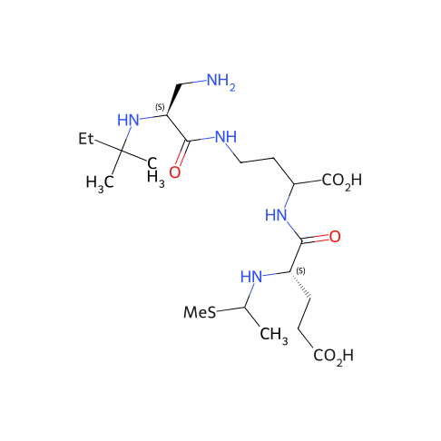 CCC(C)(C)N[C@@H](CN)C(=O)NCCC(NC(=O)[C@H](CCC(=O)O)NC(C)SC)C(=O)O